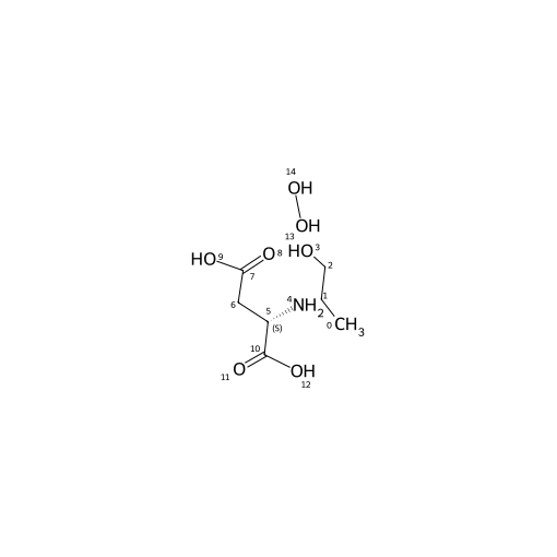 CCCO.N[C@@H](CC(=O)O)C(=O)O.OO